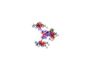 CC(=O)NC1[C@H](OCCCCCCNC(=O)CCOCC(CNC(=O)CCCC(=O)NCCCCCC(=O)Oc2c(F)c(F)c(F)c(F)c2F)(COCCC(=O)NCCCCCCO[C@@H]2OC(COC(C)=O)[C@@H](OC(C)=O)[C@H](C)C2NC(C)=O)COCCC(=O)NCCCCCCO[C@@H]2OC(COC(C)=O)[C@@H](OC(C)=O)[C@H](C)C2NC(C)=O)OC(COC(C)=O)[C@@H](OC(C)=O)[C@@H]1C